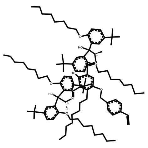 C=Cc1ccc(COc2cc(C=N[C@H](C)C(O)(c3cc(C(C)(C)C)ccc3OCCCCCCCC)c3cc(C(C)(C)C)ccc3OCCCCCCCC)c(O)c(C=N[C@H](C)C(O)(c3cc(C(C)(C)C)ccc3OCCCCCCCC)c3cc(C(C)(C)C)ccc3OCCCCCCCC)c2CCCCCCCC)cc1